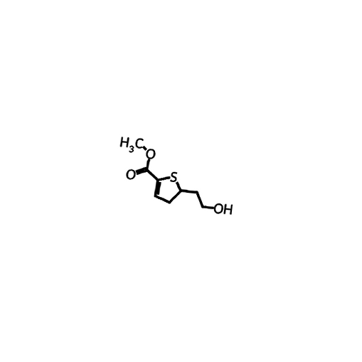 COC(=O)C1=CCC(CCO)S1